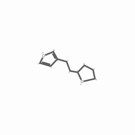 c1cc(CCC2CCCO2)co1